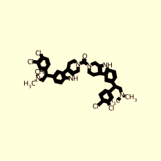 CN(C)CC(c1ccc(Cl)c(Cl)c1)c1ccc2[nH]c3c(c2c1)CCN(C(=O)N1CCc2c([nH]c4ccc(C(CN(C)C)c5ccc(Cl)c(Cl)c5)cc24)C1)C3